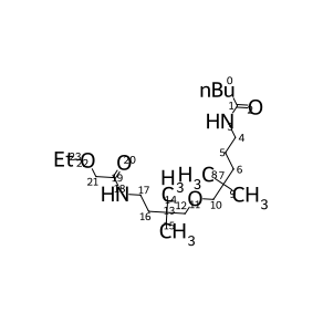 CCCCC(=O)NCCCC(C)(C)COCC(C)(C)CCNC(=O)COCC